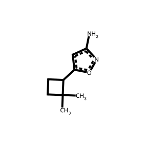 CC1(C)CCC1c1cc(N)no1